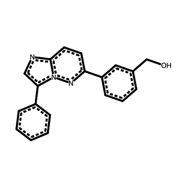 OCc1cccc(-c2ccc3ncc(-c4ccccc4)n3n2)c1